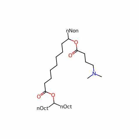 CCCCCCCCCC(CCCCCCCC(=O)OC(CCCCCCCC)CCCCCCCC)OC(=O)CCCN(C)C